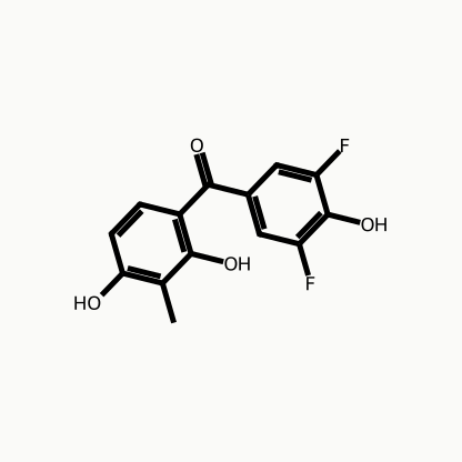 Cc1c(O)ccc(C(=O)c2cc(F)c(O)c(F)c2)c1O